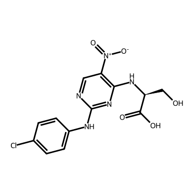 O=C(O)[C@H](CO)Nc1nc(Nc2ccc(Cl)cc2)ncc1[N+](=O)[O-]